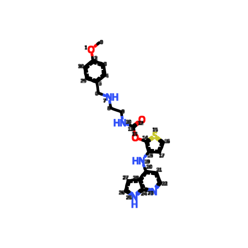 COc1ccc(CNCCNC(=O)Oc2sccc2Nc2ccnc3[nH]ccc23)cc1